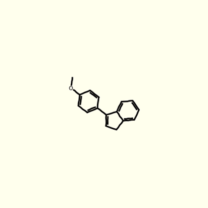 COc1ccc(C2=CCc3ccccc32)cc1